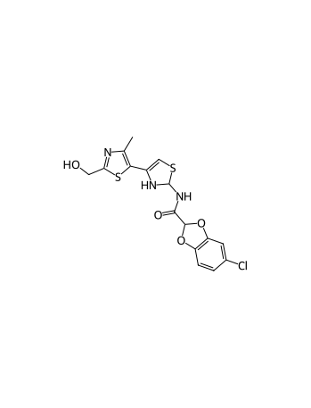 Cc1nc(CO)sc1C1=CSC(NC(=O)C2Oc3ccc(Cl)cc3O2)N1